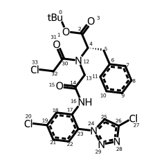 CC(C)(C)OC(=O)[C@H](Cc1ccccc1)N(CC(=O)Nc1cc(Cl)ccc1-n1cc(Cl)nn1)C(=O)CCl